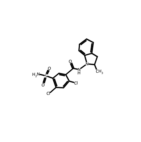 CC1Cc2ccccc2N1NC(=O)c1cc(S(N)(=O)=O)c(Cl)cc1Cl